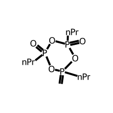 C=P1(CCC)OP(=O)(CCC)OP(=O)(CCC)O1